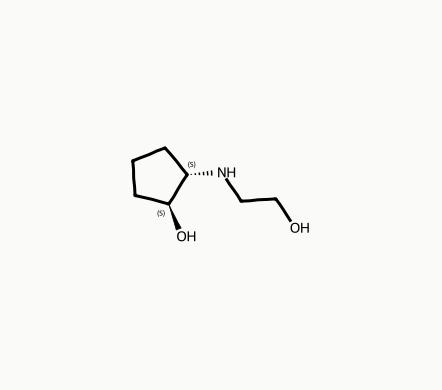 OCCN[C@H]1CCC[C@@H]1O